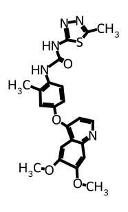 COc1cc2nccc(Oc3ccc(NC(=O)Nc4nnc(C)s4)c(C)c3)c2cc1OC